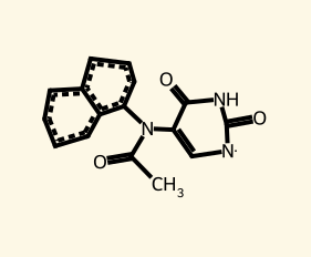 CC(=O)N(C1=C[N]C(=O)NC1=O)c1cccc2ccccc12